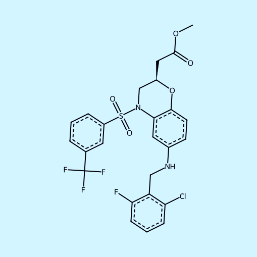 COC(=O)C[C@@H]1CN(S(=O)(=O)c2cccc(C(F)(F)F)c2)c2cc(NCc3c(F)cccc3Cl)ccc2O1